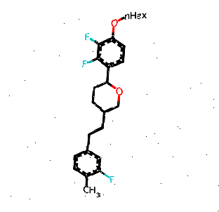 CCCCCCOc1ccc(C2CCC(CCc3ccc(C)c(F)c3)CO2)c(F)c1F